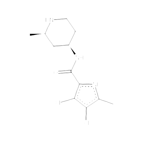 Cc1[nH]c(C(=O)N[C@@H]2CCN[C@H](C)C2)c(Cl)c1Cl